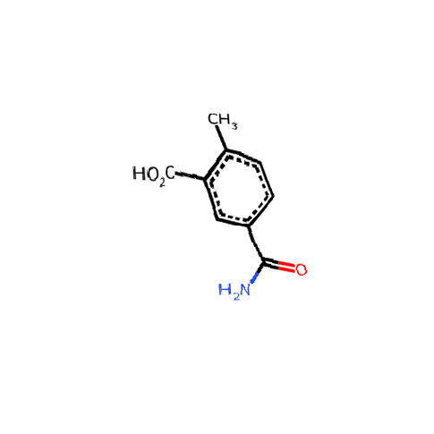 Cc1ccc(C(N)=O)cc1C(=O)O